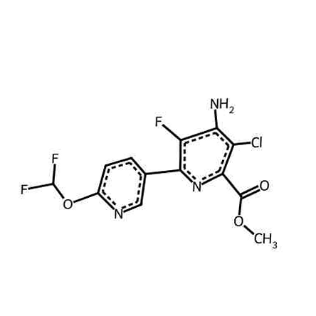 COC(=O)c1nc(-c2ccc(OC(F)F)nc2)c(F)c(N)c1Cl